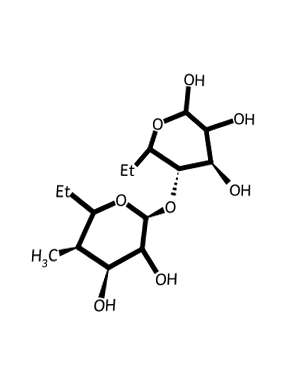 CCC1OC(O)C(O)[C@@H](O)[C@@H]1O[C@@H]1OC(CC)[C@H](C)[C@H](O)C1O